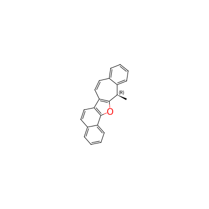 C[C@@H]1c2ccccc2C=Cc2c1oc1c2ccc2ccccc21